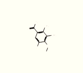 COc1c(F)cc(C(=O)O)c(O)c1O